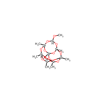 CO[SiH]1O[Si]2(C)O[Si]3(C)O[SiH](C)O[Si]4(C)O[Si](C)(O1)O[Si](C)(O2)O[Si](C)(O3)O4